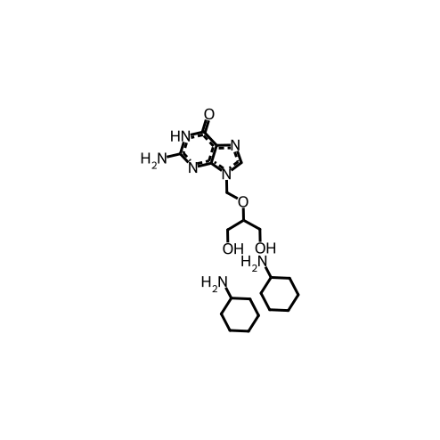 NC1CCCCC1.NC1CCCCC1.Nc1nc2c(ncn2COC(CO)CO)c(=O)[nH]1